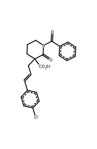 CCOC(=O)C1(CC=Cc2ccc(Cl)cc2)CCCN(C(=O)c2ccccc2)C1=O